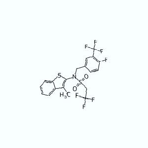 Cc1c(N(Cc2ccc(F)c(C(F)(F)F)c2)S(=O)(=O)CC(F)(F)F)sc2ccccc12